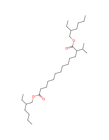 CCCCC(CC)COC(=O)CCCCCCCCCCC(C(=O)OCC(CC)CCCC)C(C)C